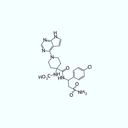 NS(=O)(=O)CC(NC(=O)C1(NC(=O)O)CCN(c2ncnc3[nH]ccc23)CC1)c1ccc(Cl)cc1